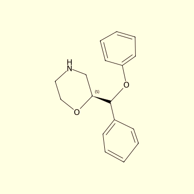 c1ccc(OC(c2ccccc2)[C@@H]2CNCCO2)cc1